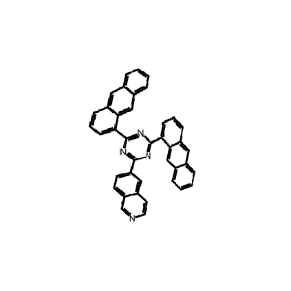 c1ccc2cc3c(-c4nc(-c5ccc6cnccc6c5)nc(-c5cccc6cc7ccccc7cc56)n4)cccc3cc2c1